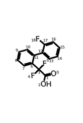 O=C(O)C(F)(F)c1ccccc1-c1ccccc1F